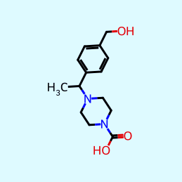 CC(c1ccc(CO)cc1)N1CCN(C(=O)O)CC1